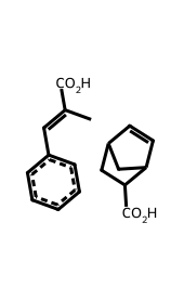 CC(=Cc1ccccc1)C(=O)O.O=C(O)C1CC2C=CC1C2